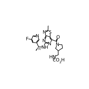 Cc1nc2nc(N[C@@H](C)c3cncc(F)c3)nc(C(=O)N3CCC(CNC(=O)O)C3)c2s1